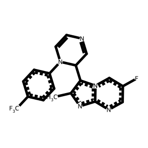 Cc1nc2ncc(F)cn2c1C1C=NC=CN1c1ccc(C(F)(F)F)cc1